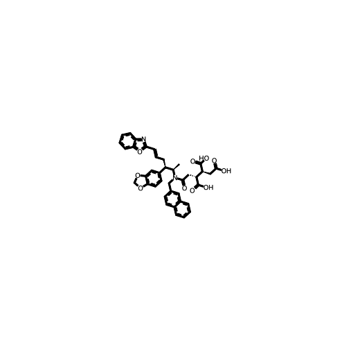 C[C@H]([C@H](CC=Cc1nc2ccccc2o1)c1ccc2c(c1)OCO2)N(Cc1ccc2ccccc2c1)C(=O)C[C@@H](C(=O)O)[C@H](CC(=O)O)C(=O)O